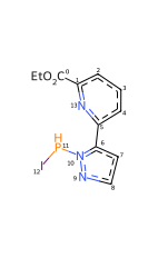 CCOC(=O)c1cccc(-c2ccnn2PI)n1